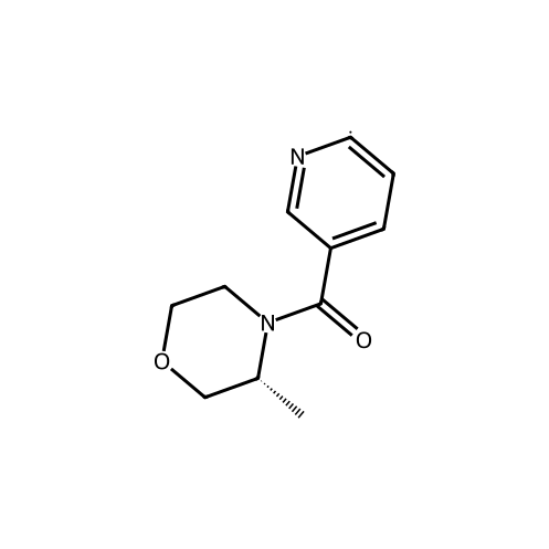 C[C@@H]1COCCN1C(=O)c1cc[c]nc1